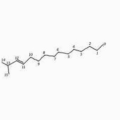 [CH2]CCCCCCCCCC/C=C/C(C)C